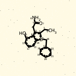 CCc1c(CC(N)=O)c2c(O)cccc2n1Cc1ccccc1